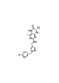 CC[C@H]1C(=O)Nc2c(C)nc(NCc3cnn(Cc4ccc(F)nc4)c3)nc2N1C